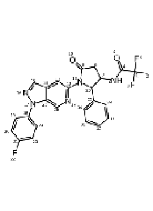 CC(F)(F)C(=O)NC1CC(=O)N(c2cc3cnn(-c4ccc(F)cc4)c3cn2)C1c1ccccc1